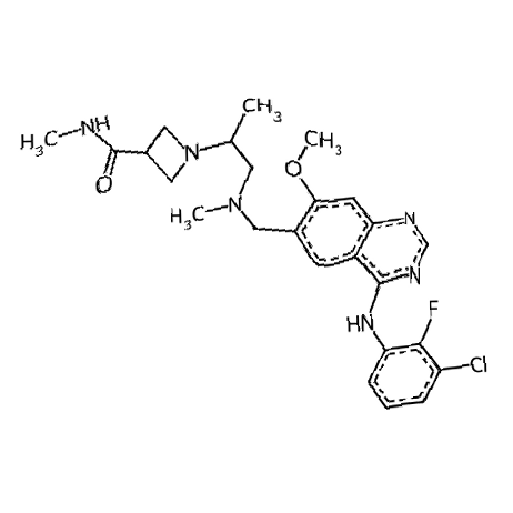 CNC(=O)C1CN(C(C)CN(C)Cc2cc3c(Nc4cccc(Cl)c4F)ncnc3cc2OC)C1